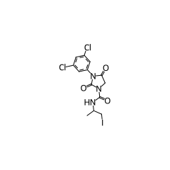 CC(CI)NC(=O)N1CC(=O)N(c2cc(Cl)cc(Cl)c2)C1=O